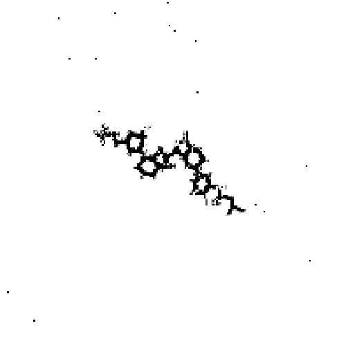 CC(C)CC(O)Nc1cncc(-c2ccc3[nH]nc(-c4cc5c(-c6cc(F)cc(CNS(C)(=O)=O)c6)cccc5[nH]4)c3n2)c1